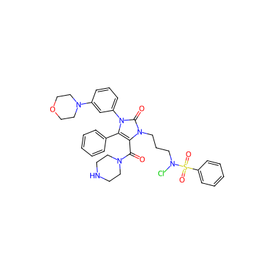 O=C(c1c(-c2ccccc2)n(-c2cccc(N3CCOCC3)c2)c(=O)n1CCCN(Cl)S(=O)(=O)c1ccccc1)N1CCNCC1